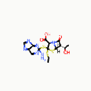 CCSC1(SC2(N)N=CC3=NC=NC3=N2)S[C@@H]2[C@@H](C(C)O)C(=O)N2C1C(=O)O